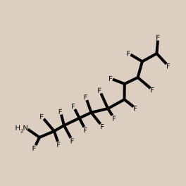 NC(F)C(F)(F)C(F)(F)C(F)(F)C(F)(F)C(F)(F)C(F)C(F)C(F)C(F)C(F)F